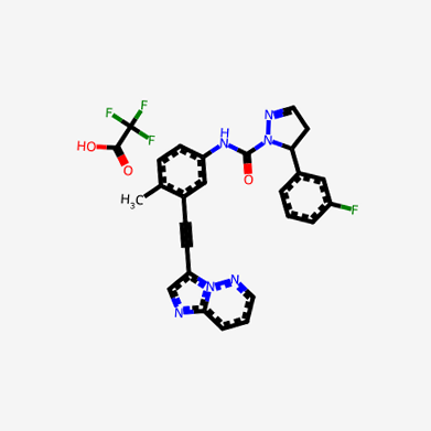 Cc1ccc(NC(=O)N2N=CCC2c2cccc(F)c2)cc1C#Cc1cnc2cccnn12.O=C(O)C(F)(F)F